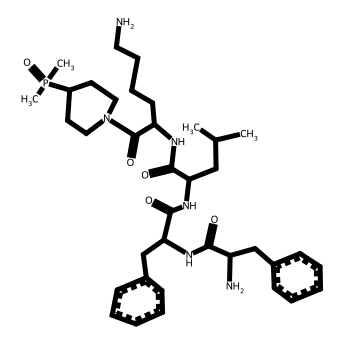 CC(C)CC(NC(=O)C(Cc1ccccc1)NC(=O)C(N)Cc1ccccc1)C(=O)NC(CCCCN)C(=O)N1CCC(P(C)(C)=O)CC1